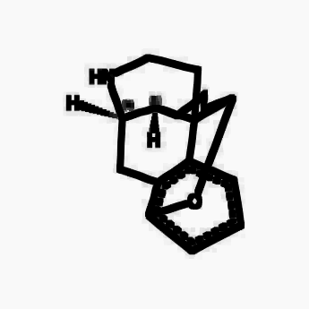 c1cc2c3c(c1)C14CCN[C@H](C3)[C@@H]1CCCC4O2